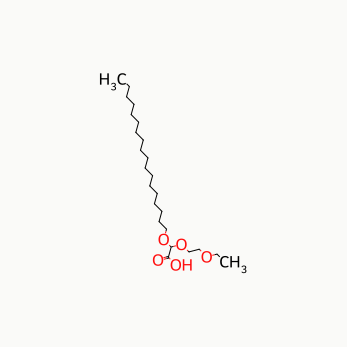 CCCCCCCCCCCCCCCCCCOC(OCCOCC)C(=O)O